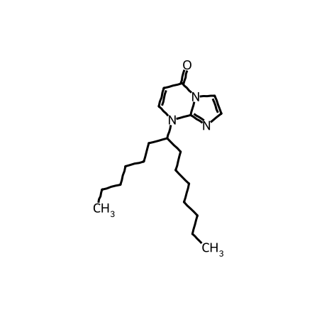 CCCCCCCC(CCCCCC)n1ccc(=O)n2ccnc12